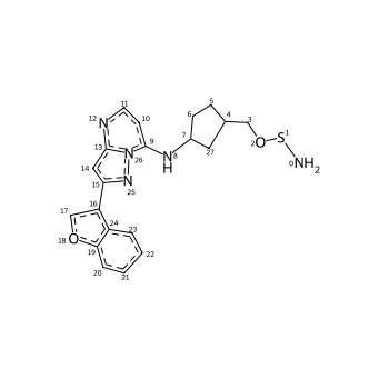 NSOCC1CCC(Nc2ccnc3cc(-c4coc5ccccc45)nn23)C1